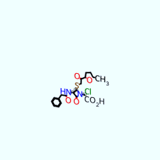 CC1CCC(C(=O)CS[C@@H]2[C@H](NC(=O)Cc3ccccc3)C(=O)N2[C@@H](Cl)C(=O)O)O1